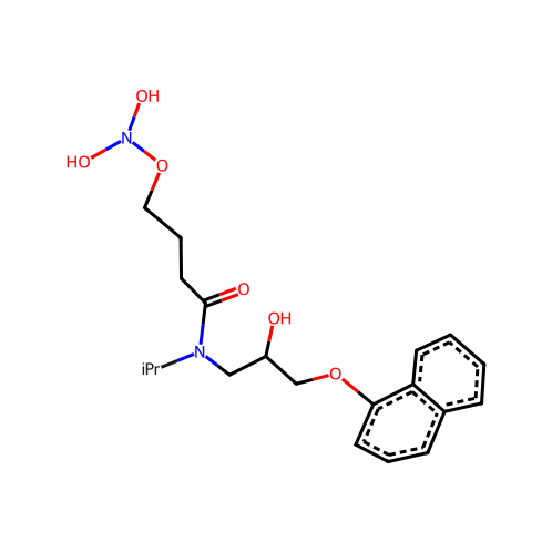 CC(C)N(CC(O)COc1cccc2ccccc12)C(=O)CCCON(O)O